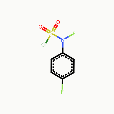 O=S(=O)(Cl)N(F)c1ccc(F)cc1